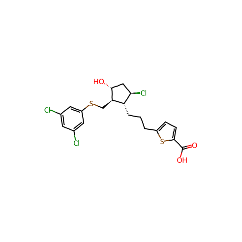 O=C(O)c1ccc(CCC[C@@H]2[C@@H](CSc3cc(Cl)cc(Cl)c3)[C@H](O)C[C@H]2Cl)s1